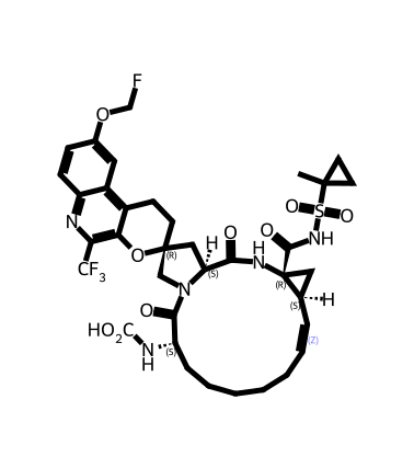 CC1(S(=O)(=O)NC(=O)[C@@]23C[C@H]2/C=C\CCCCC[C@H](NC(=O)O)C(=O)N2C[C@@]4(CCc5c(c(C(F)(F)F)nc6ccc(OCF)cc56)O4)C[C@H]2C(=O)N3)CC1